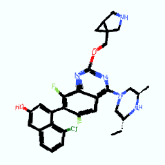 CC[C@@H]1CN(c2nc(OCC34CNCC3C4)nc3c(F)c(-c4cc(O)cc5cccc(Cl)c45)c(F)cc23)C[C@@H](C)N1